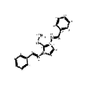 CSc1n(N=Cc2ccccc2)cc[n+]1N=Cc1ccccc1